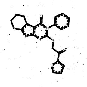 O=C(CSc1nc2sc3c(c2c(=O)n1-c1ccccc1)CCCC3)c1cccs1